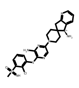 CS(=N)(=O)c1cccc(Sc2ncc(N3CCC4(CC3)Cc3ncccc3[C@H]4N)nc2N)c1Cl